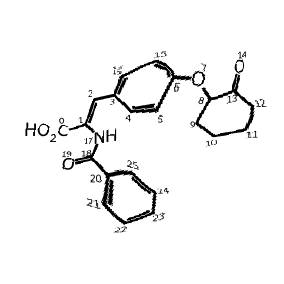 O=C(O)/C(=C/c1ccc(OC2CCCCC2=O)cc1)NC(=O)c1ccccc1